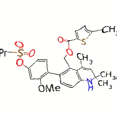 COc1cc(OS(=O)(=O)C(C)C)ccc1-c1ccc2c(c1COC(=O)c1ccc(C)s1)C(C)=CC(C)(C)N2